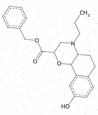 CCCN1CC(C(=O)OCc2ccccc2)OC2c3cc(O)ccc3CCC21